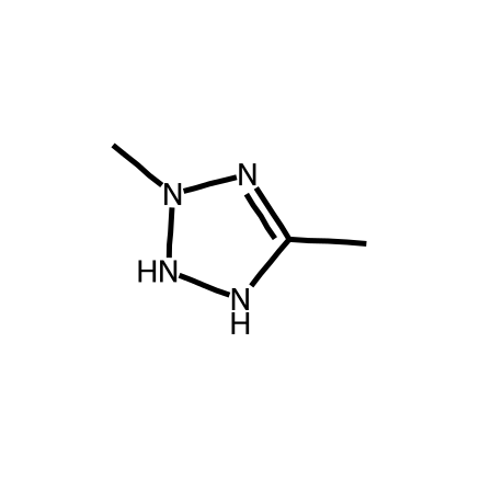 CC1=NN(C)NN1